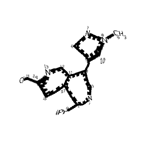 CC(C)c1ncc(-c2cnn(C)c2)c2cnc(Cl)cc12